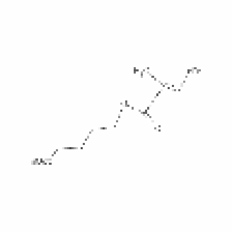 CCC/C=C(\C)C(=O)OCCCCCCCCCCCC